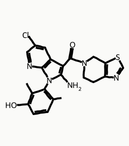 Cc1ccc(O)c(C)c1-n1c(N)c(C(=O)N2CCc3ncsc3C2)c2cc(Cl)cnc21